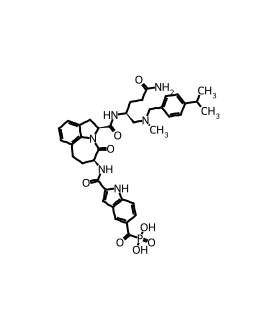 CC(C)c1ccc(CN(C)C[C@H](CCC(N)=O)NC(=O)[C@@H]2Cc3cccc4c3N2C(=O)[C@@H](NC(=O)c2cc3cc(C(=O)P(=O)(O)O)ccc3[nH]2)CC4)cc1